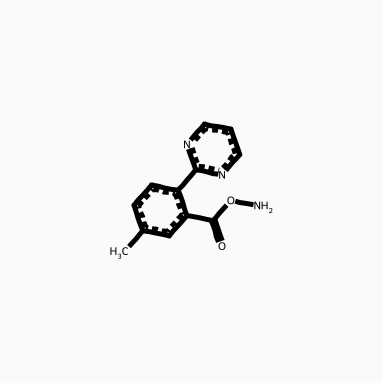 Cc1ccc(-c2ncccn2)c(C(=O)ON)c1